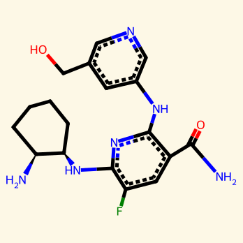 NC(=O)c1cc(F)c(N[C@@H]2CCCC[C@@H]2N)nc1Nc1cncc(CO)c1